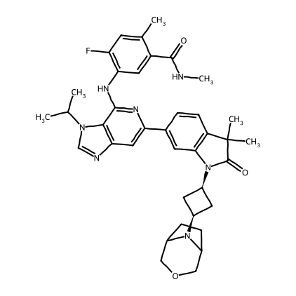 CNC(=O)c1cc(Nc2nc(-c3ccc4c(c3)N([C@H]3C[C@@H](N5C6CCC5COC6)C3)C(=O)C4(C)C)cc3ncn(C(C)C)c23)c(F)cc1C